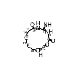 N=C1NCC(=O)OCPCCCCCCCC(=O)N1